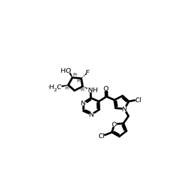 [CH2][C@@H]1C[C@@H](Nc2ncncc2C(=O)c2cc(Cl)n(Cc3ccc(Cl)o3)c2)[C@@H](F)[C@@H]1O